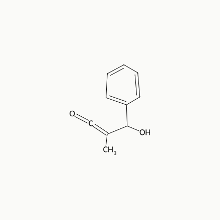 CC(=C=O)C(O)c1ccccc1